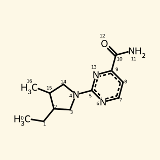 CCC1CN(c2nccc(C(N)=O)n2)CC1C